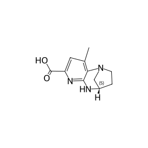 Cc1cc(C(=O)O)nc2c1N1CC[C@@H](C1)N2